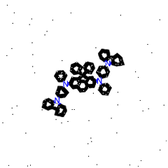 C1=Cc2c(n(-c3ccc(N(c4ccccc4)c4cc5c6c(ccc7cc(N(c8ccccc8)c8ccc(-n9c%10ccccc%10c%10ccccc%109)cc8)cc(c76)C5(c5ccccc5)c5ccccc5)c4)cc3)c3ccccc23)CC1